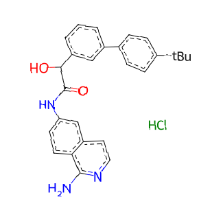 CC(C)(C)c1ccc(-c2cccc(C(O)C(=O)Nc3ccc4c(N)nccc4c3)c2)cc1.Cl